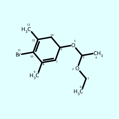 CCOC(C)OC1C=C(C)C(Br)=C(C)C1